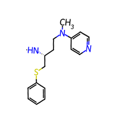 CN(CC[C@@H]([NH])CSc1ccccc1)c1ccncc1